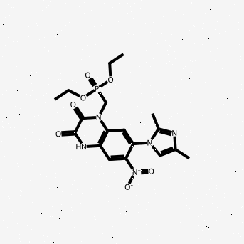 CCOP(=O)(Cn1c(=O)c(=O)[nH]c2cc([N+](=O)[O-])c(-n3cc(C)nc3C)cc21)OCC